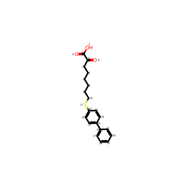 O=C(O)C(=O)CCCCCCSc1ccc(-c2ccccc2)cc1